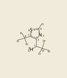 [2H]C(c1nc(C)sc1C(C)(C)C)C(C)(C)C